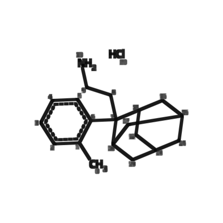 Cc1ccccc1C1(CCN)C2CC3CC(C2)CC1C3.Cl